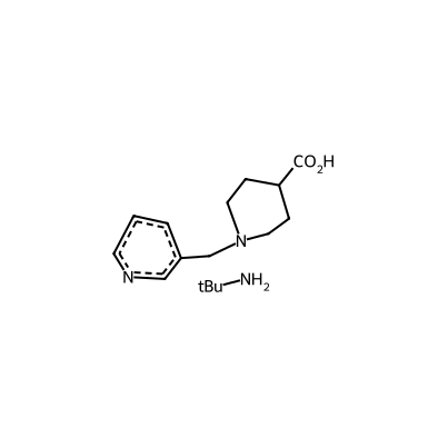 CC(C)(C)N.O=C(O)C1CCN(Cc2cccnc2)CC1